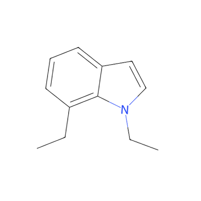 CCc1cccc2ccn(CC)c12